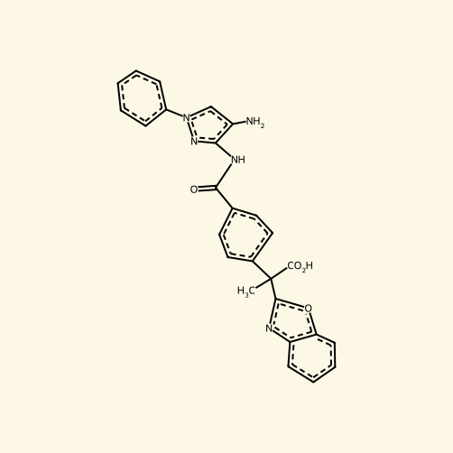 CC(C(=O)O)(c1ccc(C(=O)Nc2nn(-c3ccccc3)cc2N)cc1)c1nc2ccccc2o1